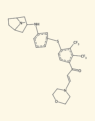 CN1C2CCC1CC(Nc1cccc(Sc3ccc(C(=O)C=CN4CCOCC4)c(C(F)(F)F)c3C(F)(F)F)c1)C2